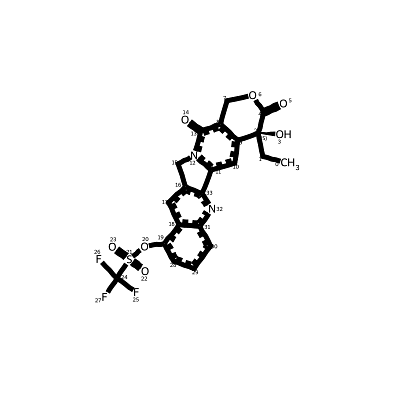 CC[C@@]1(O)C(=O)OCc2c1cc1n(c2=O)Cc2cc3c(OS(=O)(=O)C(F)(F)F)cccc3nc2-1